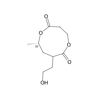 C[C@H]1CC(CCO)C(=O)OCCC(=O)O1